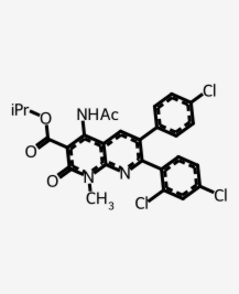 CC(=O)Nc1c(C(=O)OC(C)C)c(=O)n(C)c2nc(-c3ccc(Cl)cc3Cl)c(-c3ccc(Cl)cc3)cc12